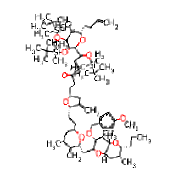 C=CCC[C@@H]1O[C@@H]([C@H](/C=C/C(=O)CC[C@H]2CC(=C)[C@H](CCC3C[C@@H](C)C(=C)[C@@H](CC4O[C@H]5C[C@@H](C)[C@@H](CCC)O[C@H]5[C@H](C)[C@H]4OCc4ccc(OC)cc4)O3)O2)O[Si](C)(C)C(C)(C)C)[C@@H](O[Si](C)(C)C(C)(C)C)[C@@H](O[Si](C)(C)C(C)(C)C)[C@H]1C